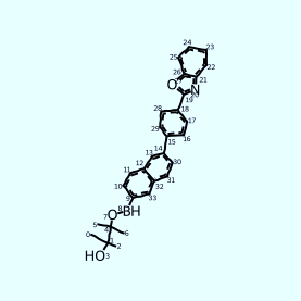 CC(C)(O)C(C)(C)OBc1ccc2cc(-c3ccc(-c4nc5ccccc5o4)cc3)ccc2c1